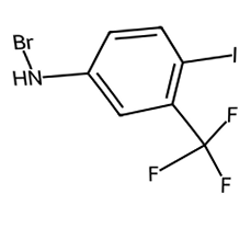 FC(F)(F)c1cc(NBr)ccc1I